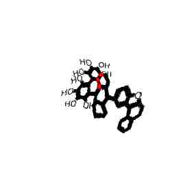 Oc1c(O)c(O)c(-c2c(O)c(O)c(O)c(O)c2-c2c3ccccc3c(-c3ccc4oc5c(c4c3)-c3ccccc3CC5)c3ccccc23)c(O)c1O